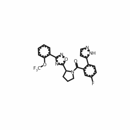 O=C(c1cc(F)ccc1-c1ccn[nH]1)N1CCCC1c1nc(-c2ccccc2OC(F)(F)F)no1